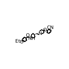 CCOc1ccc(C(=O)N[C@H]2CC[C@H](CCN3CCC(Oc4ccccc4C#N)CC3)CC2)cc1